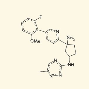 COc1cccc(F)c1-c1ccc(C2(N)CCC(Nc3ncc(C)nn3)C2)nc1